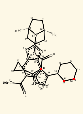 COC(=O)c1cc2sc(N3[C@@H]4CC[C@H]3C[C@@H](OC(=O)c3c(C56CCC(CC5)CC6)noc3C3CC3)C4)nc2cc1OC